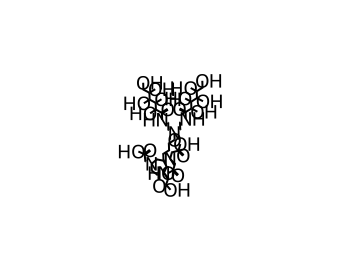 O=C(O)CN1CCN(CC(=O)O)CC(CCCON(CCNC(=O)C(O)C(O)C(O)C(O)CO)CCNC(=O)C(O)C(O)C(O)C(O)CO)(N(CC(=O)O)CC(=O)O)C1